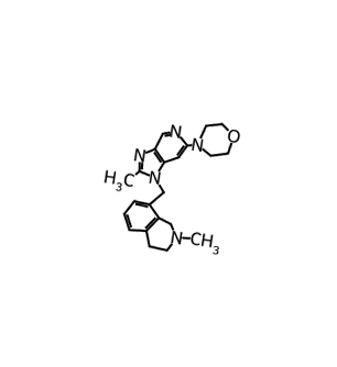 Cc1nc2cnc(N3CCOCC3)cc2n1Cc1cccc2c1CN(C)CC2